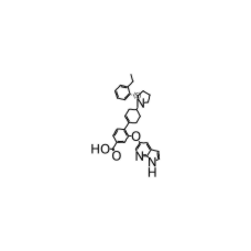 CCc1ccccc1[C@@H]1CCCN1C1CC=C(c2ccc(C(=O)O)cc2Oc2cnc3[nH]ccc3c2)CC1